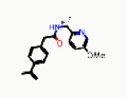 C=C(C)c1ccc(CC(=O)N[C@H](C)c2ccc(OC)cn2)cc1